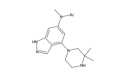 CC(=O)N(C)c1cc(N2CCNC(C)(C)C2)c2cn[nH]c2c1